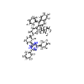 CC1(C)c2cc(-c3cccc(-c4nc(-c5ccccc5)nc(-c5ccccc5)n4)c3)ccc2-c2c1cc1ccccc1c2-c1ccccc1